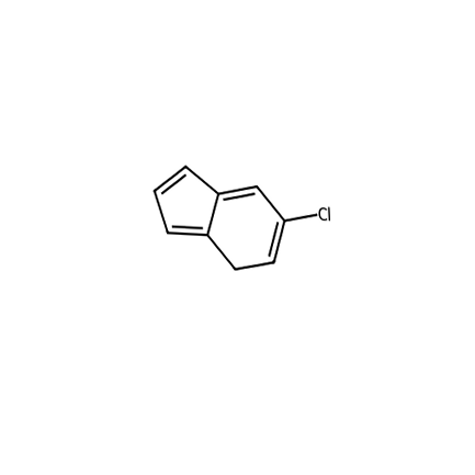 ClC1=CCC2=CC=CC2=C1